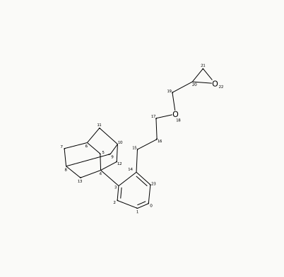 c1ccc(C23CC4CC(CC(C4)C2)C3)c(CCCOCC2CO2)c1